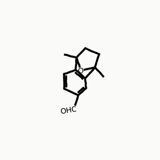 CC12CCC(C)(O1)c1cc(C=O)ccc12